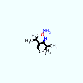 C/C=C(\C(=N/ON)C(C)C)C(C)C